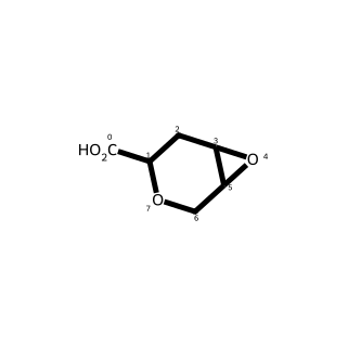 O=C(O)C1CC2OC2CO1